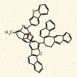 C\C1=C(c2ccccc2)/N=C(c2ccc3c(c2)sc2ccccc23)\N=C(\c2cc(C3CCc4cc5ccccc5cc4-c4c3ccc3ccccc43)c3oc4c5ccccc5ccc4c3c2)CC1